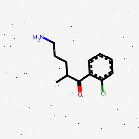 CC(CCCN)C(=O)c1ccccc1Cl